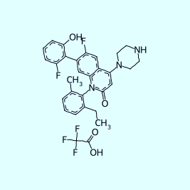 CCc1cccc(C)c1-n1c(=O)cc(N2CCNCC2)c2cc(F)c(-c3c(O)cccc3F)cc21.O=C(O)C(F)(F)F